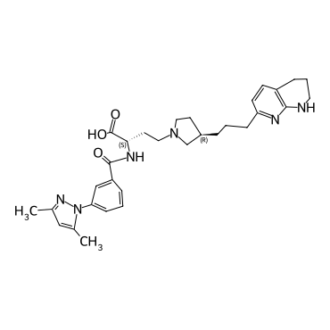 Cc1cc(C)n(-c2cccc(C(=O)N[C@@H](CCN3CC[C@@H](CCCc4ccc5c(n4)NCCC5)C3)C(=O)O)c2)n1